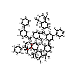 Cc1ccccc1-c1cc2c3c(c1)N(c1cc4c(cc1C)C(C)(C)CCC4(C)C)c1ccc(N(c4cccc(-c5ccccc5)c4)c4cccc(-c5ccccc5)c4)cc1B3N(c1ccc3c(c1)C(C)(C)CCC3(C)C)c1c-2ccc2c1-c1cccc(C)c1C2(C)C